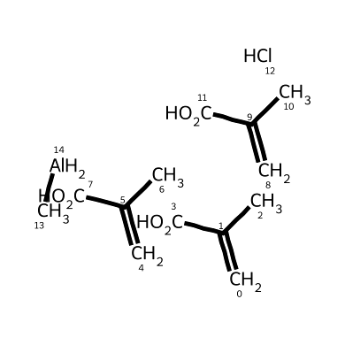 C=C(C)C(=O)O.C=C(C)C(=O)O.C=C(C)C(=O)O.Cl.[CH3][AlH2]